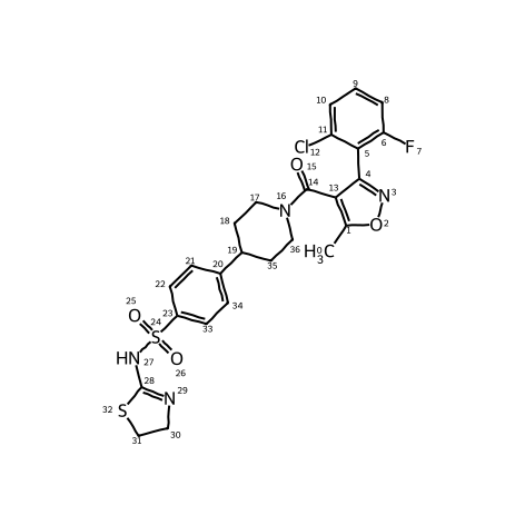 Cc1onc(-c2c(F)cccc2Cl)c1C(=O)N1CCC(c2ccc(S(=O)(=O)NC3=NCCS3)cc2)CC1